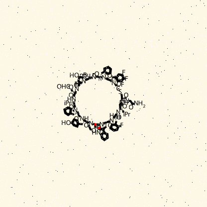 CCCC[C@H]1C(=O)N2C[C@H](O)C[C@@H]2C(=O)N[C@@H](COC=O)C(=O)N[C@@H](C(C)C)C(=O)N(C)[C@@H](Cc2ccccc2)C(=O)N[C@@H](Cc2ccc(O)cc2)C(=O)N2CCOC[C@@H]2C(=O)N[C@@H](Cc2c[nH]c3ccccc23)C(=O)N[C@@H](Cc2ccccc2F)C(=O)N[C@@H](CC(C)C)C(=O)N[C@H](C(=O)NCC(N)=O)CSCC(=O)N[C@@H](Cc2cc(F)c(F)c(F)c2)C(=O)N(C)[C@@H](Cc2ccccc2)C(=O)N1C